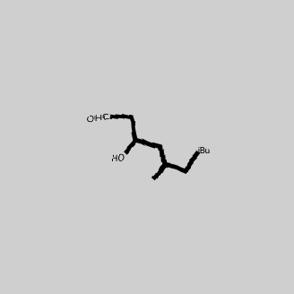 CCC(C)CC(C)CC(O)CC=O